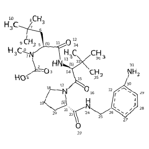 CN(C(=O)O)[C@@H](CC(C)(C)C)C(=O)N[C@H](C(=O)N1CCC[C@H]1C(=O)NCc1cccc(N)c1)C(C)(C)C